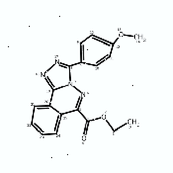 CCOC(=O)c1nn2c(-c3ccc(OC)cc3)nnc2c2ccccc12